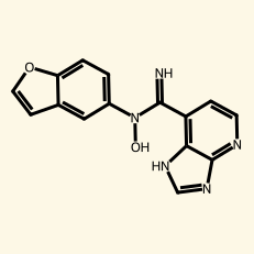 N=C(c1ccnc2nc[nH]c12)N(O)c1ccc2occc2c1